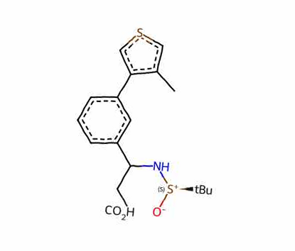 Cc1cscc1-c1cccc(C(CC(=O)O)N[S@+]([O-])C(C)(C)C)c1